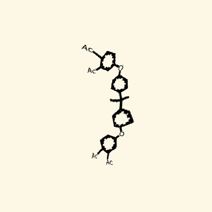 CC(=O)c1ccc(Oc2ccc(C(C)(C)c3ccc(Oc4ccc(C(C)=O)c(C(C)=O)c4)cc3)cc2)cc1C(C)=O